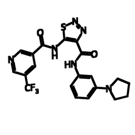 O=C(Nc1snnc1C(=O)Nc1cccc(N2CCCC2)c1)c1cncc(C(F)(F)F)c1